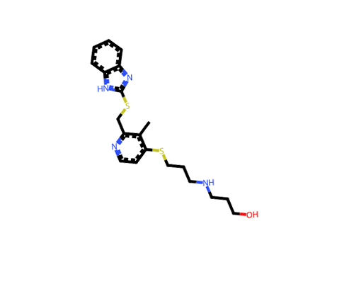 Cc1c(SCCCNCCCO)ccnc1CSc1nc2ccccc2[nH]1